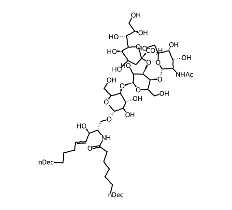 CCCCCCCCCCCCC/C=C/[C@@H](O)[C@H](CO[C@@H]1OC(CO)[C@@H](O[C@@H]2OC(CO)[C@H](O[C@@H]3OC(CO)[C@H](O)[C@H](O)C3NC(C)=O)[C@H](O[C@]3(C(=O)O)CC(O)[C@@H](O)C([C@H](O)[C@H](O)CO)O3)C2O)[C@H](O)C1O)NC(=O)CCCCCCCCCCCCCCC